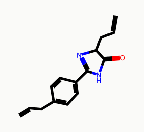 C=CCc1ccc(C2=NC(CC=C)C(=O)N2)cc1